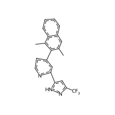 Cc1cc2ccccc2c(C)c1-c1ccnc(-c2cc(C(F)(F)F)n[nH]2)c1